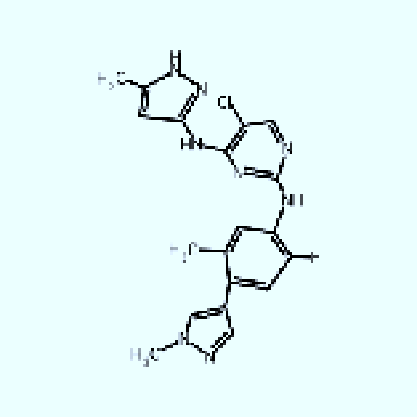 Cc1cc(Nc2nc(Nc3cc(C)c(-c4cnn(C)c4)cc3F)ncc2Cl)n[nH]1